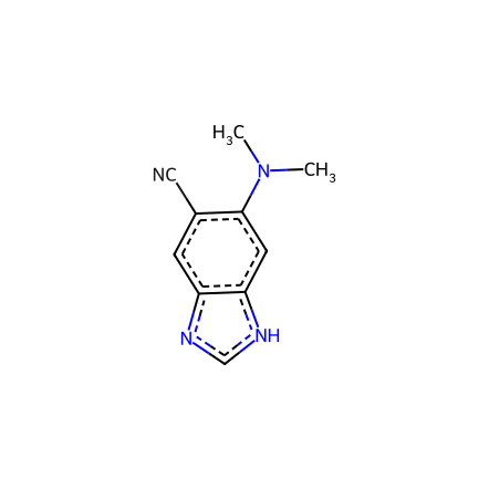 CN(C)c1cc2[nH]cnc2cc1C#N